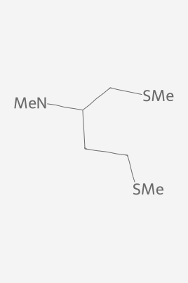 CNC(CCSC)CSC